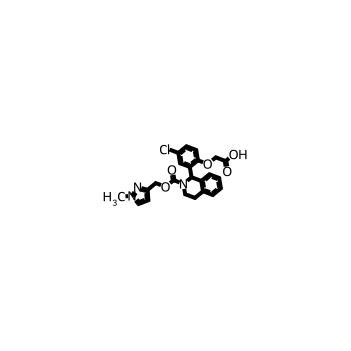 Cn1ccc(COC(=O)N2CCc3ccccc3C2c2cc(Cl)ccc2OCC(=O)O)n1